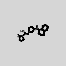 C[C@@H]1CCCN1C(O)CN1CC[C@H](Nc2ccnc3ccccc23)C1